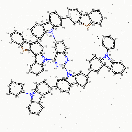 c1ccc(-n2c3ccccc3c3cc(-c4ccc5c6ccc(-c7ccc8c(c7)c7ccccc7n8-c7ccccc7)cc6n(-c6nc(-n7c8ccccc8c8c9sc%10ccccc%10c9ccc87)c7cc(-n8c9ccccc9c9ccc(-c%10ccc%11c(c%10)sc%10ccccc%10%11)cc98)ccc7n6)c5c4)ccc32)cc1